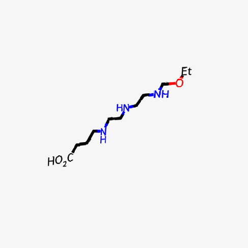 CCOCNCCNCCNCCCC(=O)O